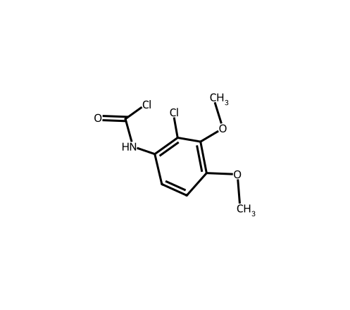 COc1ccc(NC(=O)Cl)c(Cl)c1OC